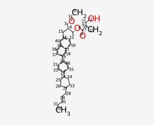 C=COCC(COC(=O)C(=C)CO)Cc1ccc2cc(-c3ccc(C4CCC(CCCCC)CC4)cc3)ccc2c1